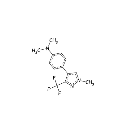 CN(C)c1ccc(-c2cn(C)nc2C(F)(F)F)cc1